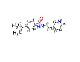 CC(C)c1ccc(C(=O)NCCc2cccnc2)cc1